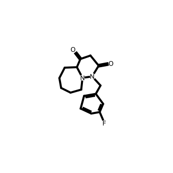 O=C1CC(=O)N(Cc2cccc(F)c2)N2CCCCCC12